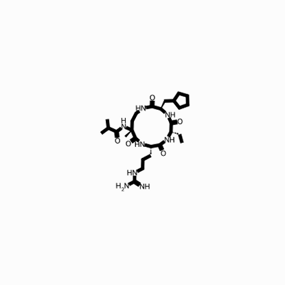 CC[C@@H]1NC(=O)[C@H](CCCNC(=N)N)NC(=O)[C@](C)(NC(=O)C(C)C)CCNC(=O)[C@@H](CC2CCCC2)NC1=O